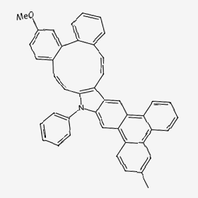 COc1ccc2ccc3c(ccc4ccccc4c2c1)c1cc2c4ccccc4c4cc(C)ccc4c2cc1n3-c1ccccc1